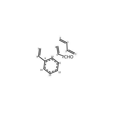 C=CC=C.C=CC=O.C=Cc1ccccc1